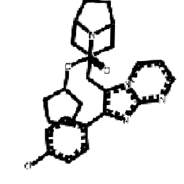 O=C(OC1CCCC1)N1C2CCC1CN(Cc1c(-c3ccc(Cl)cc3)nc3ncccn13)C2